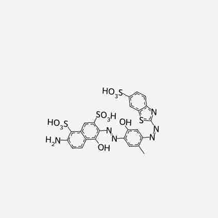 Cc1cc(N=Nc2c(S(=O)(=O)O)cc3c(S(=O)(=O)O)c(N)ccc3c2O)c(O)cc1/N=N\c1nc2ccc(S(=O)(=O)O)cc2s1